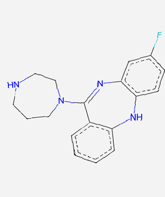 Fc1ccc2c(c1)N=C(N1CCCNCC1)c1ccccc1N2